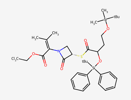 CC(C)=C(C(=O)OCC(Cl)(Cl)Cl)N1C[C@H](SC(=O)C(CCO[Si](C)(C)C(C)(C)C)O[Si](c2ccccc2)(c2ccccc2)C(C)(C)C)C1=O